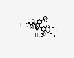 COc1cc(C(=O)c2cc(-c3ccco3)ccc2NC(=O)[C@H](N)C(C)C)cc(OC)c1OC